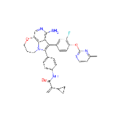 C=C(C(=O)Nc1ccc(-c2c(-c3ccc(Oc4nccc(C)n4)c(F)c3)c3c(N)ncc4c3n2CCCO4)cc1)C1CC1